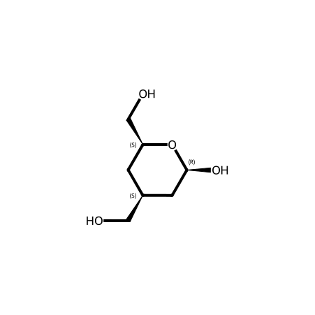 OC[C@H]1C[C@@H](CO)O[C@@H](O)C1